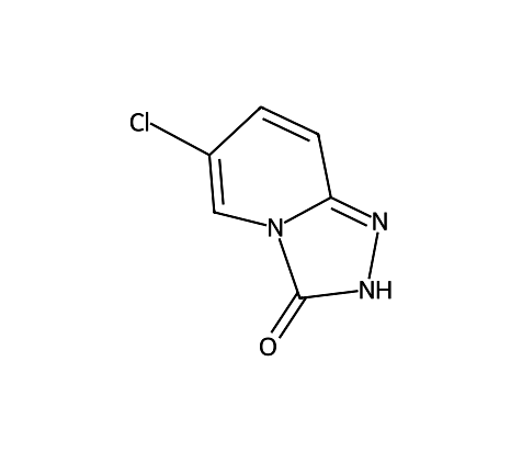 O=c1[nH]nc2ccc(Cl)cn12